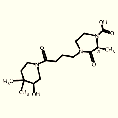 C[C@H]1C(=O)N(CCCC(=O)N2CCC(C)(C)C(O)C2)CCN1C(=O)O